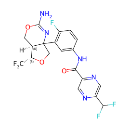 NC1=NC2(c3cc(NC(=O)c4cnc(C(F)F)cn4)ccc3F)CO[C@H](C(F)(F)F)[C@H]2CO1